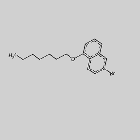 CCCCCCCOc1cccc2cc(Br)ccc12